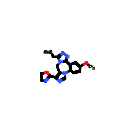 COCc1nnc2n1Cc1c(C3=NCCO3)ncn1-c1ccc(OC(F)(F)F)cc1-2